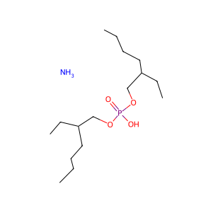 CCCCC(CC)COP(=O)(O)OCC(CC)CCCC.N